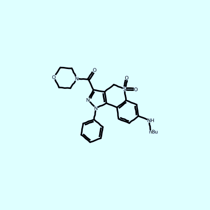 CCCCNc1ccc2c(c1)S(=O)(=O)Cc1c(C(=O)N3CCOCC3)nn(-c3ccccc3)c1-2